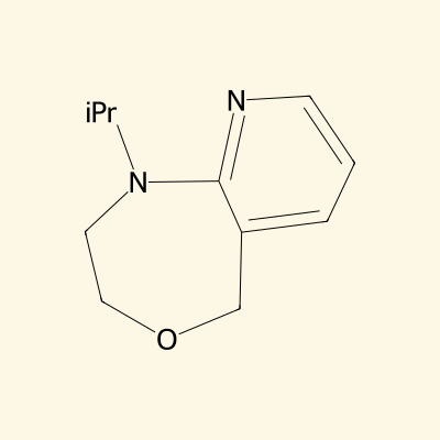 CC(C)N1CCOCc2cccnc21